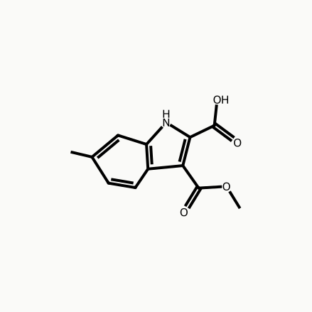 COC(=O)c1c(C(=O)O)[nH]c2cc(C)ccc12